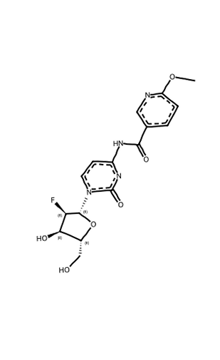 COc1ccc(C(=O)Nc2ccn([C@@H]3O[C@H](CO)[C@@H](O)[C@H]3F)c(=O)n2)cn1